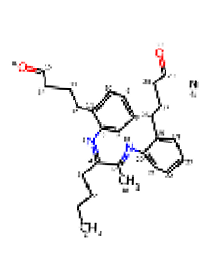 CCCCC(=Nc1ccccc1CCCC=O)C(C)=Nc1ccccc1CCCC=O.[Ni]